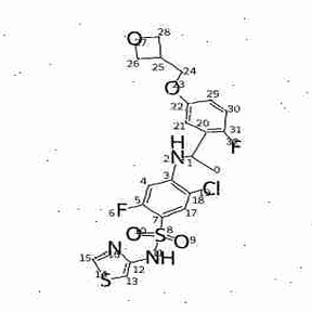 CC(Nc1cc(F)c(S(=O)(=O)Nc2cscn2)cc1Cl)c1cc(OCC2COC2)ccc1F